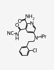 CC(C)N(CCc1ccccc1Cl)c1cnc(C(N)=O)c(C(=O)NC#N)c1